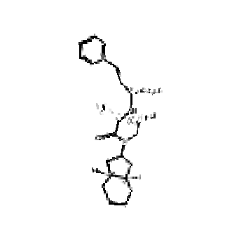 CCOC(=O)[C@@H](CCc1ccccc1)N[C@@H](C)C(=O)N(CC(=O)O)C1C[C@H]2CCCC[C@@H]2C1.Cl